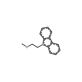 COCCn1c2ccccc2c2ccccc21